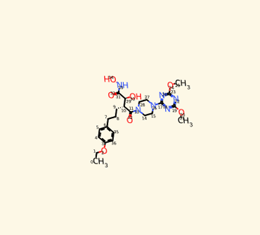 CCOc1ccc(CCC[C@@H](C(=O)N2CCN(c3nc(OC)nc(OC)n3)CC2)[C@H](O)C(=O)NO)cc1